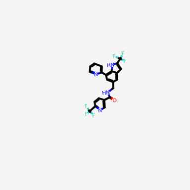 O=C(NCc1cc(-c2ccccn2)c2[nH]c(C(F)(F)F)cc2c1)c1ccc(C(F)(F)F)nc1